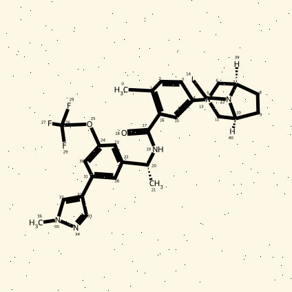 Cc1ccc(N2C[C@H]3CC[C@@H](C2)N3CI)cc1C(=O)N[C@H](C)c1cc(OC(F)(F)F)cc(-c2cnn(C)c2)c1